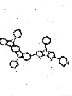 c1ccc(-n2c3ccccc3c3cc4c(cc32)c2cc(-c3cc5c(s3)c3sc(-c6ccncc6)cc3n5-c3ccccc3)ccc2n4-c2ccccc2)cc1